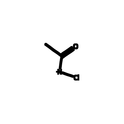 CC(=O)[N]Cl